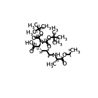 CCOC(=O)[C@@H](C)NCCC[C@H](C(=O)O)N(C(=O)OC(C)(C)C)C(=O)OC(C)(C)C